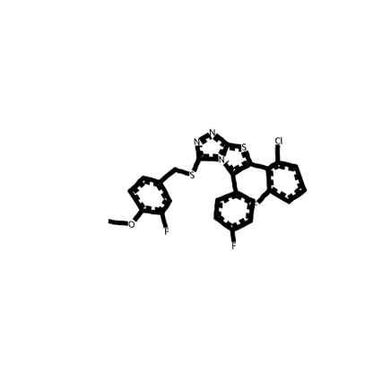 COc1ccc(CSc2nnc3sc(-c4c(F)cccc4Cl)c(-c4ccc(F)cc4)n23)cc1F